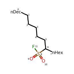 CCCCCCCCCCCCCCCC(CCCCCC)S(=O)(=O)F